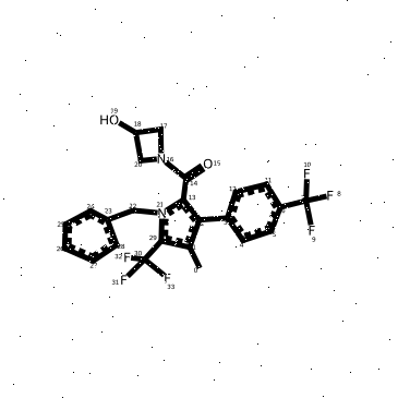 Cc1c(-c2ccc(C(F)(F)F)cc2)c(C(=O)N2CC(O)C2)n(Cc2ccccc2)c1C(F)(F)F